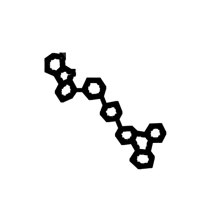 c1cc(-c2ccc(-c3ccc4c5ccccc5c5ccccc5c4c3)cc2)cc(-c2cccc3c2sc2ncccc23)c1